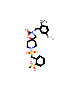 COc1ccc([N+](=O)[O-])cc1CN1CC2(CCN(S(=O)(=O)Cc3ccccc3S(C)(=O)=O)CC2)OC1=O